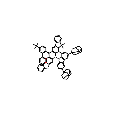 CC(C)(C)c1ccc(N2c3cc4c(cc3B3c5c2cc2c(c5-c5cc(C67CC8CC(CC(C8)C6)C7)cc6c7cc(C89CC%10CC(CC(C%10)C8)C9)ccc7n3c56)C(C)(C)c3ccccc3-2)sc2ccccc24)c(-c2ccccc2)c1